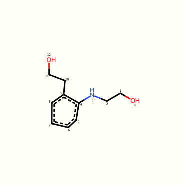 OCCNc1ccccc1CCO